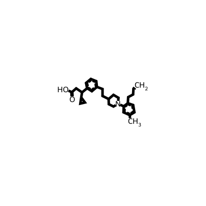 C=CCCc1ccc(C)cc1N1CCC(CCc2cccc(C(CC(=O)O)C3CC3)c2)CC1